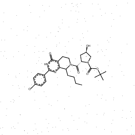 CCCCC1c2nc(-c3ccc(Cl)cc3)[nH]c(=O)c2CCN1C(=O)[C@@H]1C[C@@H](O)CN1C(=O)OC(C)(C)C